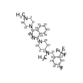 CN1CCN(c2nnc(N3CCC(N(C)Cc4ccc(F)cc4C(F)(F)F)CC3)c3ccccc23)CC1